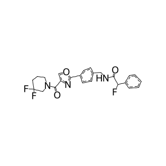 O=C(NCc1ccc(-c2nc(C(=O)N3CCCC(F)(F)C3)co2)cc1)C(F)c1ccccc1